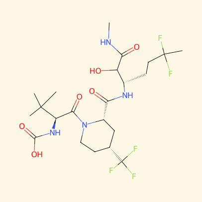 CNC(=O)C(O)[C@H](CCC(C)(F)F)NC(=O)[C@@H]1C[C@H](C(F)(F)F)CCN1C(=O)[C@@H](NC(=O)O)C(C)(C)C